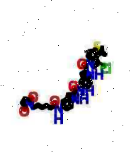 Cc1csc2[c]cc3c(c12)[C@H](CCl)CN3C(=O)c1cc2cc(NC(=O)c3cc4cc(NC(=O)CCCCCN5C(=O)C=CC5=O)ccc4[nH]3)ccc2[nH]1